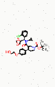 CC(C)(C)OC(=O)N1CCC(c2ccc(OCCO)cc2)=C(C(=O)N(C2CC2)C(C2=COCO2)c2ccccc2Cl)C1